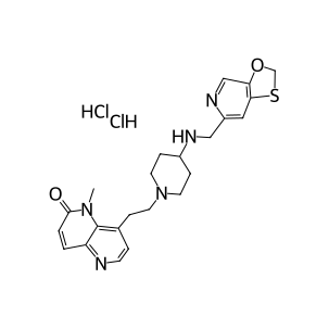 Cl.Cl.Cn1c(=O)ccc2nccc(CCN3CCC(NCc4cc5c(cn4)OCS5)CC3)c21